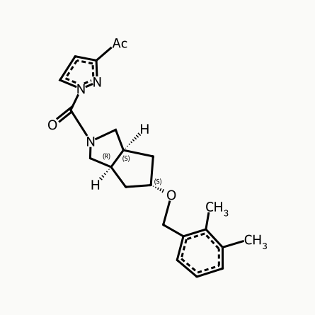 CC(=O)c1ccn(C(=O)N2C[C@H]3C[C@H](OCc4cccc(C)c4C)C[C@H]3C2)n1